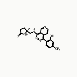 C[C@]1(CNc2nnc(-c3ccc(C(F)(F)F)cc3O)c3ccncc23)CCC(=O)N1